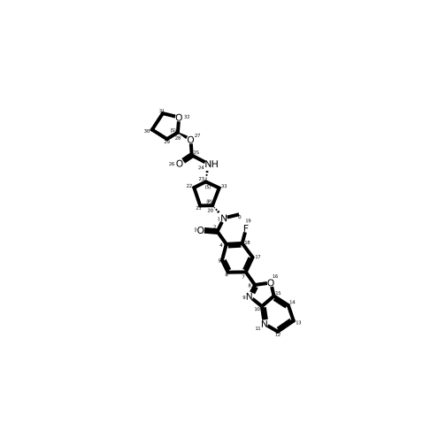 CN(C(=O)c1ccc(-c2nc3ncccc3o2)cc1F)[C@@H]1CC[C@H](NC(=O)O[C@H]2CCCO2)C1